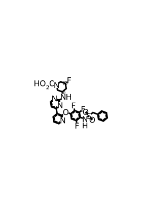 O=C(O)N1C[C@@H](F)C[C@H](Nc2nccc(-c3cccnc3Oc3cc(F)c(NS(=O)(=O)Cc4ccccc4)c(F)c3F)n2)C1